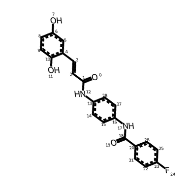 O=C(/C=C/c1cc(O)ccc1O)Nc1ccc(NC(=O)c2ccc(F)cc2)cc1